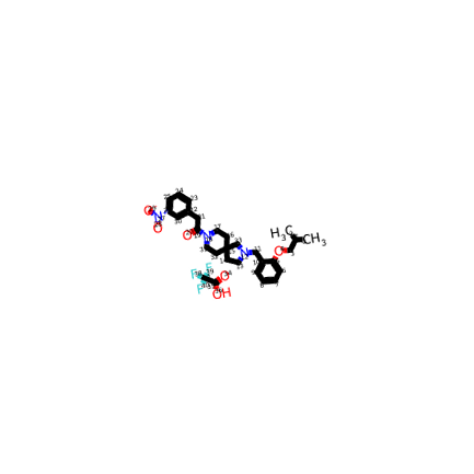 CC(C)COc1ccccc1CN1CCC2(CCN(C(=O)Cc3cccc([N+](=O)[O-])c3)CC2)C1.O=C(O)C(F)(F)F